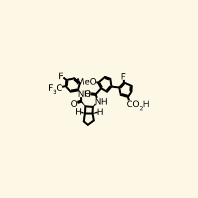 COc1ccc(-c2cc(C(=O)O)ccc2F)cc1C(=O)N[C@H]1[C@@H]2CCC[C@@H]2[C@H]1C(=O)Nc1ccc(F)c(C(F)(F)F)c1